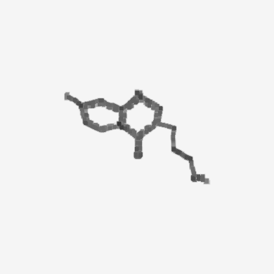 CCCCc1cnc2cc(I)ccn2c1=O